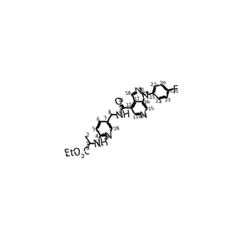 CCOC(=O)C(C)Nc1ccc(CNC(=O)c2cncc3c2cnn3-c2ccc(F)cc2)cn1